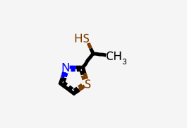 CC(S)c1nccs1